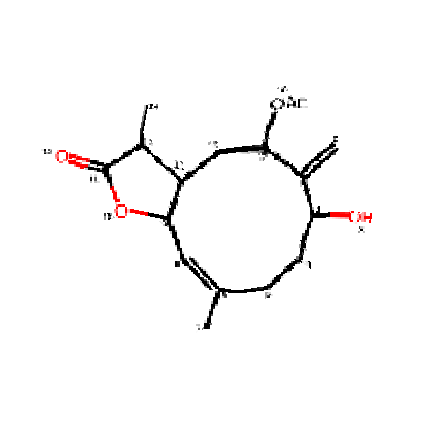 C=C1C(O)CCC(C)=CC2OC(=O)C(C)C2CC1OC(C)=O